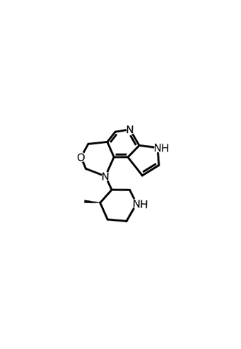 C[C@@H]1CCNCC1N1COCc2cnc3[nH]ccc3c21